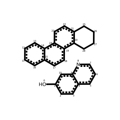 Oc1ccc2cccnc2c1.c1ccc2c(c1)ccc1c3c(ccc12)CCCC3